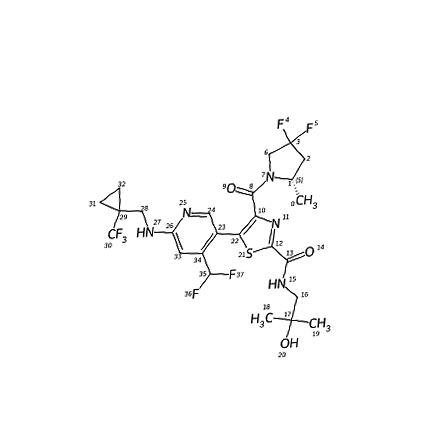 C[C@H]1CC(F)(F)CN1C(=O)c1nc(C(=O)NCC(C)(C)O)sc1-c1cnc(NCC2(C(F)(F)F)CC2)cc1C(F)F